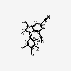 Cc1cc(N2c3c(C#N)cc(C#N)cc3N(C)[C@@H]2C)c(C)c(C)c1C